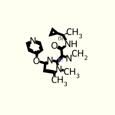 C=N/C(C(=O)N[C@@H](C)C1CC1)=C1/N=C(Oc2ccncc2)C=C(C)N1C